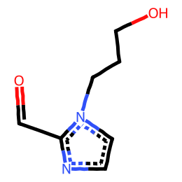 O=Cc1nccn1CCCO